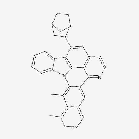 Cc1cccc2cc3c4nccc5cc(C6CC7CCC6C7)c6c7ccccc7n(c3c(C)c12)c6c54